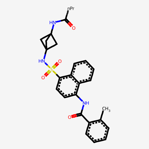 CCCC(=O)NC12CC(NS(=O)(=O)c3ccc(NC(=O)c4ccccc4C)c4ccccc34)(C1)C2